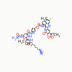 CC[C@H]1C(=O)OCc2c1cc1n(c2=O)Cc2c-1nc1cc(F)c(C)c3c1c2[C@@H](NC(=O)OCc1ccc(NC(=O)[C@H](CCCNC(N)=O)NC(=O)[C@@H](NC(=O)CCCCCCN=[N+]=[N-])C(C)C)cc1)CC3